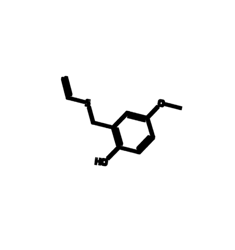 C=CSCc1cc(OC)ccc1O